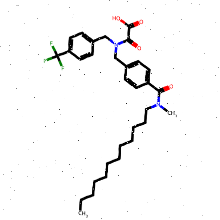 CCCCCCCCCCCCN(C)C(=O)c1ccc(CN(Cc2ccc(C(F)(F)F)cc2)C(=O)C(=O)O)cc1